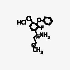 COCC[C@@H](N)c1ccc(Cl)c(Oc2ccccc2)c1F.Cl